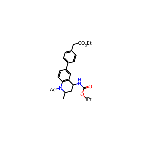 CCOC(=O)Cc1ccc(-c2ccc3c(c2)C(NC(=O)OC(C)C)CC(C)N3C(C)=O)cc1